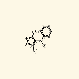 CC(C)(C)c1no[n+]([O-])c1[S+]([O-])c1ccccc1